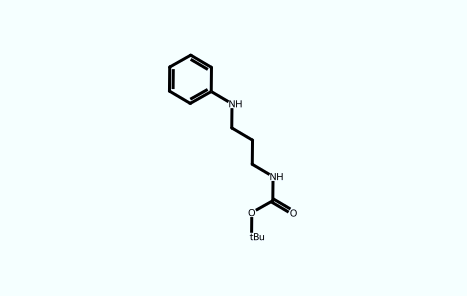 CC(C)(C)OC(=O)NCCCNc1ccccc1